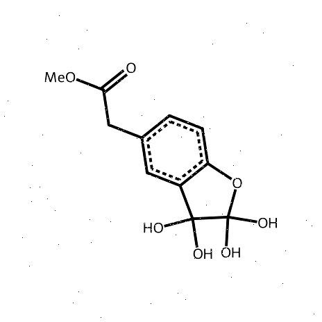 COC(=O)Cc1ccc2c(c1)C(O)(O)C(O)(O)O2